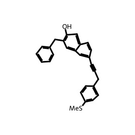 CSc1ccc(CC#Cc2ccc3cc(O)c(Cc4ccccc4)cc3c2)cc1